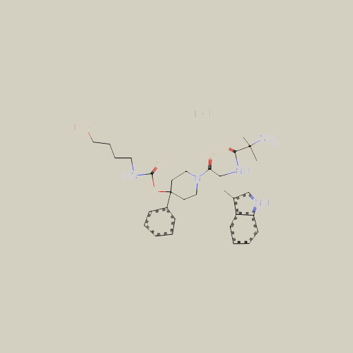 CC(C)(N)C(=O)N[C@H](Cc1c[nH]c2ccccc12)C(=O)N1CCC(OC(=O)NCCCCO)(c2ccccc2)CC1.Cl